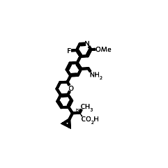 COc1cc(-c2ccc(C3CCc4ccc(C(C5CC5)[C@H](C)C(=O)O)cc4O3)cc2CN)c(F)cn1